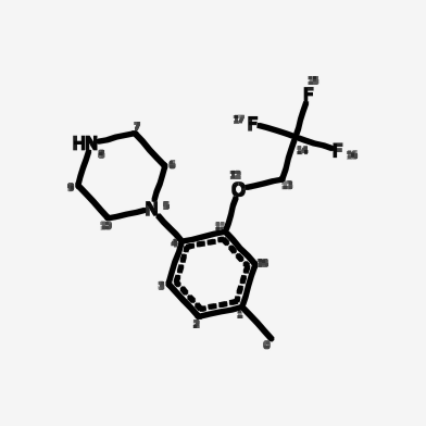 Cc1ccc(N2CCNCC2)c(OCC(F)(F)F)c1